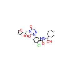 O=C(NC(O)C1CCCCCC1)c1cc(-n2ncc(=O)n(CC(O)c3ccco3)c2=O)ccc1Cl